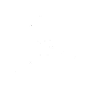 CC(C)COC(=O)OCC(COC(=O)OCC(C)(C)C)OC(=O)CCC(=O)C(C)(C)C